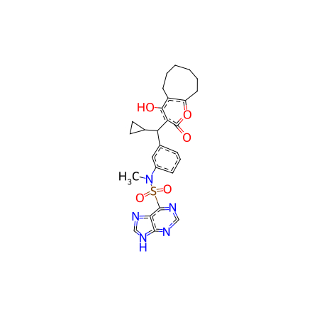 CN(c1cccc(C(c2c(O)c3c(oc2=O)CCCCCC3)C2CC2)c1)S(=O)(=O)c1ncnc2[nH]cnc12